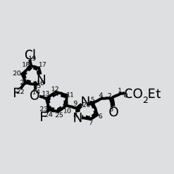 CCOC(=O)CC(=O)Cc1ccnc(-c2ccc(Oc3ncc(Cl)cc3F)c(F)c2)n1